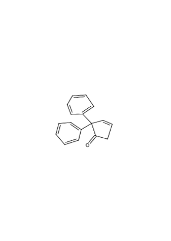 O=C1CC=CC1(c1ccccc1)c1ccccc1